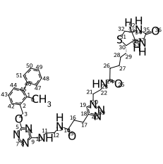 Cc1c(COc2ncnc(NCCNC(=O)CCc3cn(CCNC(=O)CCCC[C@@H]4SC[C@@H]5NC(=O)N[C@@H]54)nn3)n2)cccc1-c1ccccc1